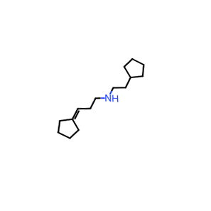 C(CCNCCC1CCCC1)=C1CCCC1